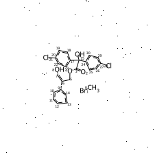 CBr.O=C(OCC(=CO)c1ccccc1)C(O)(c1ccc(Cl)cc1)c1ccc(Cl)cc1